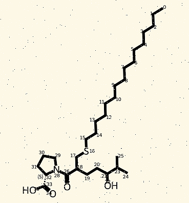 CCCCCCCCCCCCCCCCSCC(CCC(O)C(C)C)C(=O)N1CCC[C@H]1C(=O)O